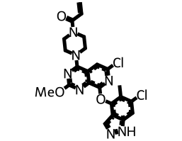 C=CC(=O)N1CCN(c2nc(OC)nc3c(Oc4c(C)c(Cl)cc5[nH]ncc45)nc(Cl)cc23)CC1